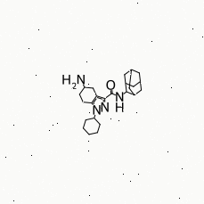 NC1CCc2c(c(C(=O)NC3C4CC5CC(C4)CC3C5)nn2C2CCCCC2)C1